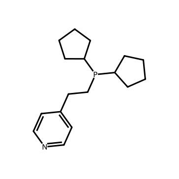 c1cc(CCP(C2CCCC2)C2CCCC2)ccn1